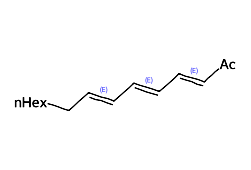 CCCCCCC/C=C/C=C/C=C/C(C)=O